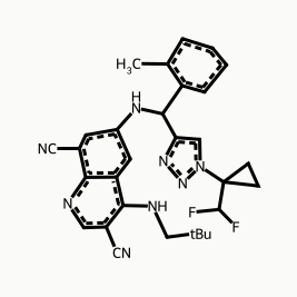 Cc1ccccc1C(Nc1cc(C#N)c2ncc(C#N)c(NCC(C)(C)C)c2c1)c1cn(C2(C(F)F)CC2)nn1